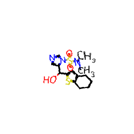 CN(C)S(=O)(=O)n1cncc1C(O)c1cc2c(s1)CCCC2